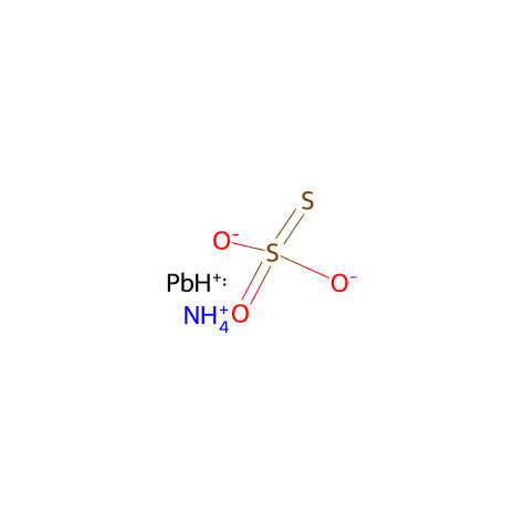 O=S([O-])([O-])=S.[NH4+].[PbH+]